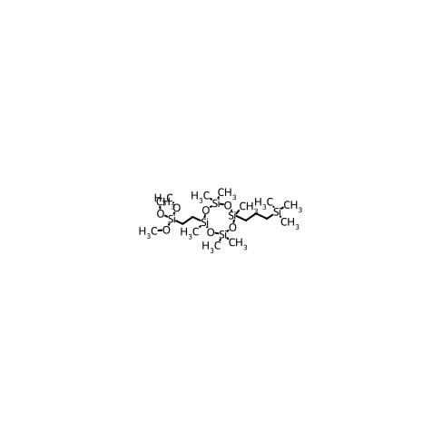 CO[Si](CC[Si]1(C)O[Si](C)(C)O[Si](C)(CCC[Si](C)(C)C)O[Si](C)(C)O1)(OC)OC